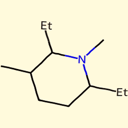 CCC1CCC(C)C(CC)N1C